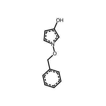 Oc1ccn(OCc2ccccc2)c1